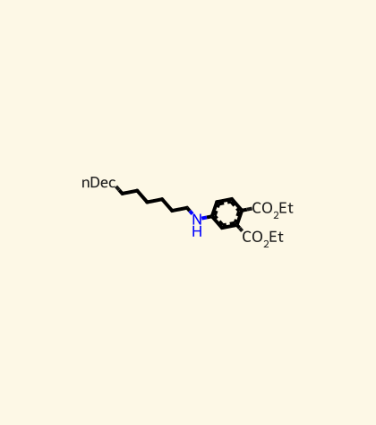 CCCCCCCCCCCCCCCCNc1ccc(C(=O)OCC)c(C(=O)OCC)c1